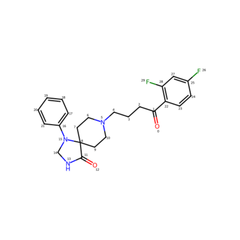 O=C(CCCN1CCC2(CC1)C(=O)NCN2c1ccccc1)c1ccc(F)cc1F